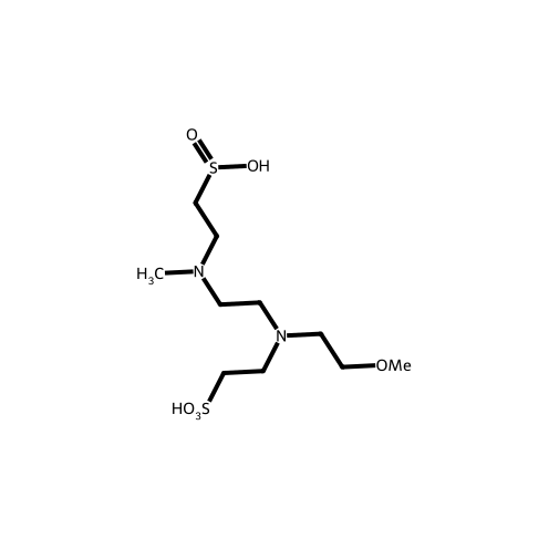 COCCN(CCN(C)CCS(=O)O)CCS(=O)(=O)O